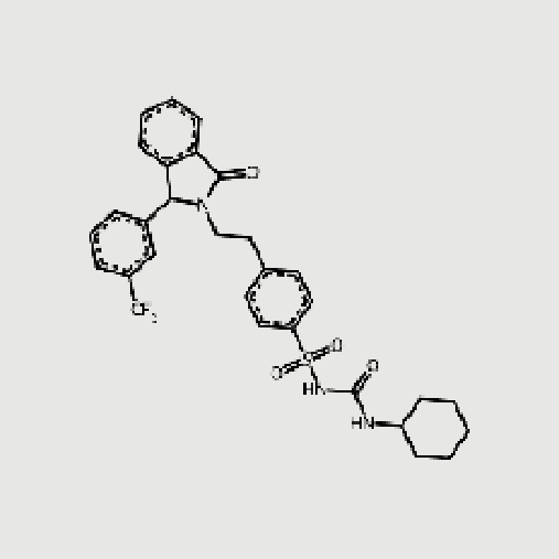 O=C(NC1CCCCC1)NS(=O)(=O)c1ccc(CCN2C(=O)c3ccccc3C2c2cccc(C(F)(F)F)c2)cc1